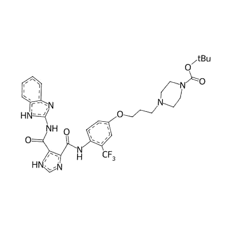 CC(C)(C)OC(=O)N1CCN(CCCOc2ccc(NC(=O)c3nc[nH]c3C(=O)Nc3nc4ccccc4[nH]3)c(C(F)(F)F)c2)CC1